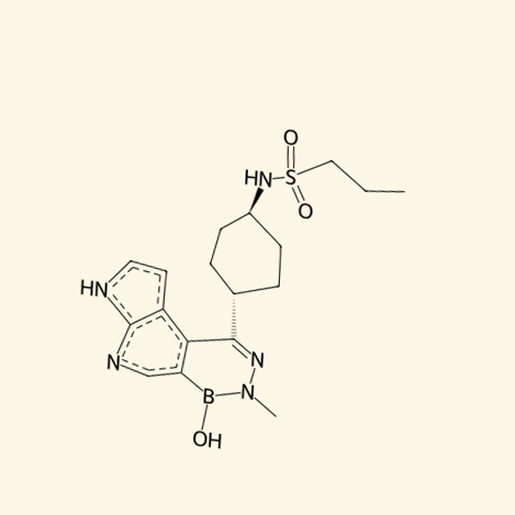 CCCS(=O)(=O)N[C@H]1CC[C@H](C2=NN(C)B(O)c3cnc4[nH]ccc4c32)CC1